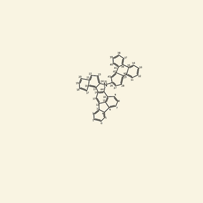 c1ccc2c(c1)-c1cccc3c1c-2cc1c2c4ccccc4ccc2n(-c2ccc4c5ccccc5c5ccccc5c4c2)c31